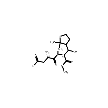 COC(=O)[C@@H](NC(=O)[C@@H](N)CC(=O)O)C(O)C1CCSC1(C)C